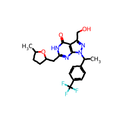 CC1CCC(Cc2nc3c(c(CO)nn3C(C)c3ccc(C(F)(F)F)cc3)c(=O)[nH]2)O1